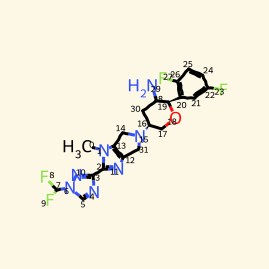 Cn1c(-c2ncn(C(F)F)n2)nc2c1CN([C@H]1CO[C@H](c3cc(F)ccc3F)C(N)C1)C2